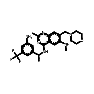 CNc1cc2c(NC(C)c3cc(N)cc(C(F)(F)F)c3)nc(C)nc2cc1CN1CCOCC1